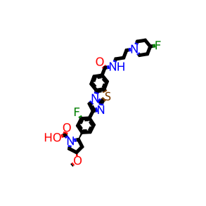 CO[C@@H]1C[C@H](c2ccc(-c3cn4c(n3)sc3cc(C(=O)NCCCN5CCC(F)CC5)ccc34)c(F)c2)N(C(=O)O)C1